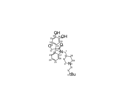 CC(C)(C)CCN1CCC(CN2C(=O)C3(COc4cc(O)c(O)cc43)c3ccccc32)CC1